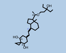 CCC(O)(CC)CCO[C@H](C)C1CCC2/C(=C/C=C3C[C@@H](O)C4(CC4)[C@H](O)C3)CCCC21C